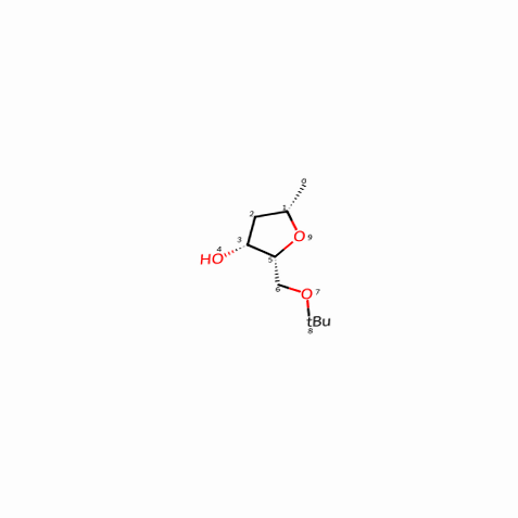 C[C@H]1C[C@@H](O)[C@@H](COC(C)(C)C)O1